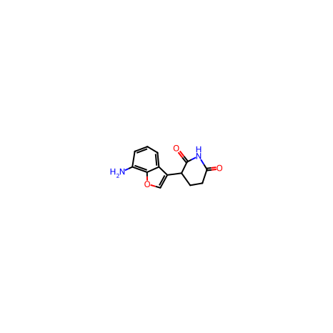 Nc1cccc2c(C3CCC(=O)NC3=O)coc12